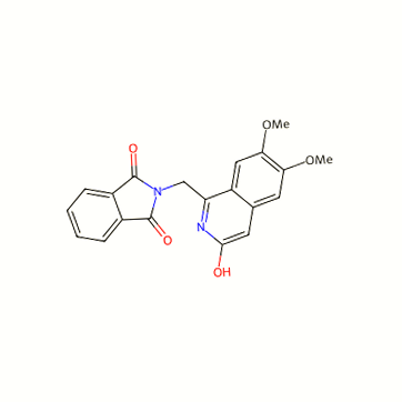 COc1cc2cc(O)nc(CN3C(=O)c4ccccc4C3=O)c2cc1OC